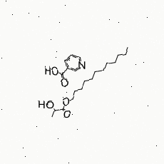 CCCCCCCCCCCCOC(=O)C(C)O.O=C(O)c1cccnc1